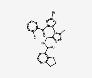 CCc1cc(C(=O)c2ccccc2Cl)c(-n2c(C)nnc2CNC(=O)c2cccc3c2OCC3)s1